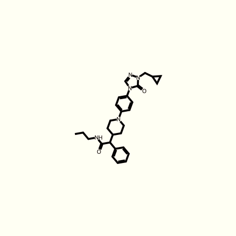 CCCNC(=O)C(c1ccccc1)C1CCN(c2ccc(-n3cnn(CC4CC4)c3=O)cc2)CC1